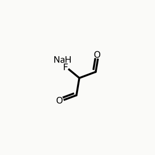 O=CC(F)C=O.[NaH]